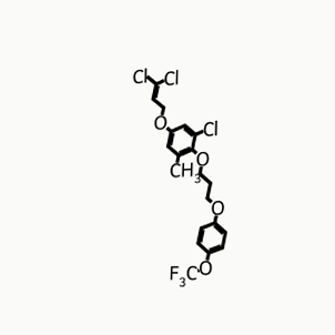 Cc1cc(OCC=C(Cl)Cl)cc(Cl)c1OCCCOc1ccc(OC(F)(F)F)cc1